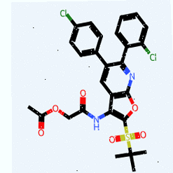 CC(=O)OCC(=O)Nc1c(S(=O)(=O)C(C)(C)C)oc2nc(-c3ccccc3Cl)c(-c3ccc(Cl)cc3)cc12